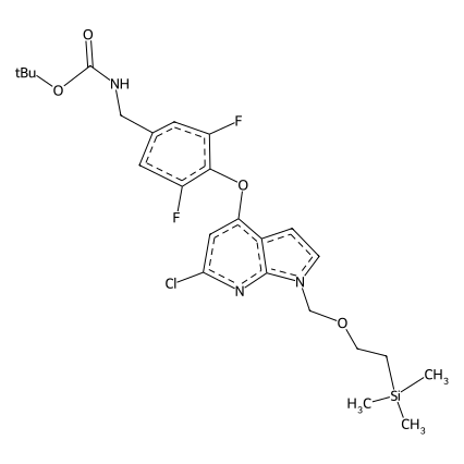 CC(C)(C)OC(=O)NCc1cc(F)c(Oc2cc(Cl)nc3c2ccn3COCC[Si](C)(C)C)c(F)c1